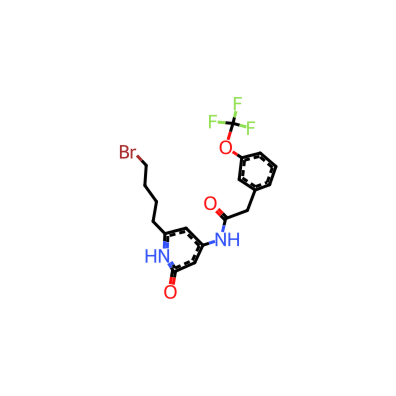 O=C(Cc1cccc(OC(F)(F)F)c1)Nc1cc(CCCCBr)[nH]c(=O)c1